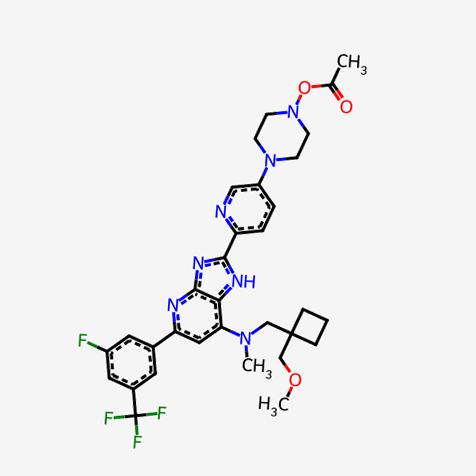 COCC1(CN(C)c2cc(-c3cc(F)cc(C(F)(F)F)c3)nc3nc(-c4ccc(N5CCN(OC(C)=O)CC5)cn4)[nH]c23)CCC1